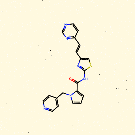 O=C(Nc1nc(C=Cc2ccncn2)cs1)c1cccn1Cc1ccncc1